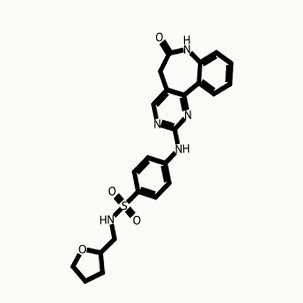 O=C1Cc2cnc(Nc3ccc(S(=O)(=O)NCC4CCCO4)cc3)nc2-c2ccccc2N1